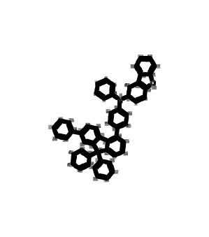 C1=CC(N(c2ccccc2)c2ccc(-c3cccc4c3-c3ccc(-c5ccccc5)cc3C4(c3ccccc3)c3ccccc3)cc2)Cc2c1oc1ccccc21